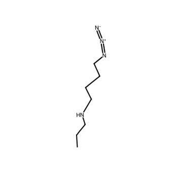 CCCNCCCCN=[N+]=[N-]